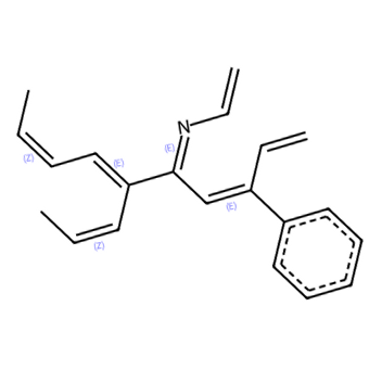 C=C/N=C(\C=C(/C=C)c1ccccc1)C(/C=C\C)=C/C=C\C